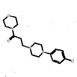 O=C(CCN1CCN(c2ccc(Cl)cc2)CC1)N1CCOCC1